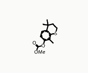 COC(=O)Oc1ccc2c(c1C)SCCC2(C)C